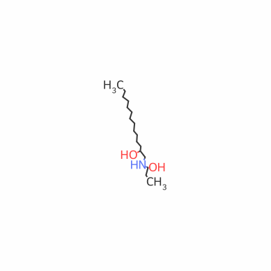 CCCCCCCCCCCCC(O)CNC(O)CC